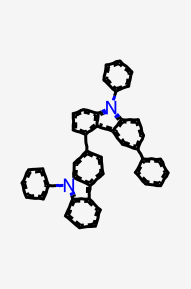 c1ccc(-c2ccc3c(c2)c2c(-c4ccc5c6ccccc6n(-c6ccccc6)c5c4)cccc2n3-c2ccccc2)cc1